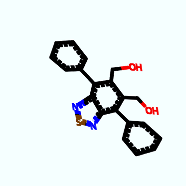 OCc1c(CO)c(-c2ccccc2)c2nsnc2c1-c1ccccc1